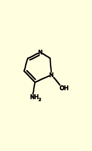 NC1=CC=NCN1O